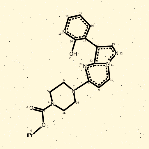 CC(C)OC(=O)N1CCN(c2ccn3ncc(-c4cccnc4O)c3n2)CC1